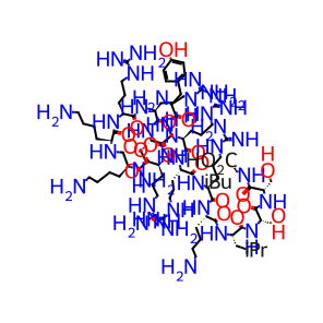 CC[C@H](C)[C@H](NC(=O)[C@H](CO)NC(=O)[C@H](CO)NC(=O)[C@H](CC(C)C)NC(=O)[C@H](CCCCN)NC(=O)[C@H](CCCNC(=N)N)NC(=O)[C@H](CCCNC(=N)N)NC(=O)[C@H](CCCNC(=N)N)NC(=O)[C@H](CCC(N)=O)NC(=O)[C@H](CCCNC(=N)N)NC(=O)[C@H](CCCNC(=N)N)NC(=O)[C@H](CCCCN)NC(=O)[C@H](CCCCN)NC(=O)[C@H](CCCNC(=N)N)NC(=O)CNC(=O)[C@@H](N)Cc1ccc(O)cc1)C(=O)O